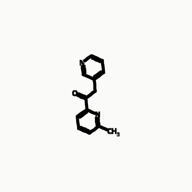 Cc1cccc(C(=O)Cc2cccnc2)n1